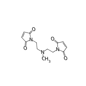 CN(CCN1C(=O)C=CC1=O)CCN1C(=O)C=CC1=O